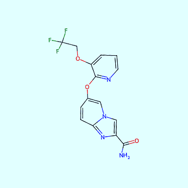 NC(=O)c1cn2cc(Oc3ncccc3OCC(F)(F)F)ccc2n1